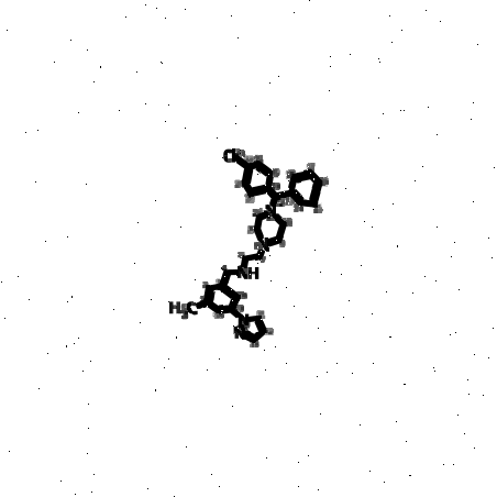 Cc1cc(CNCCN2CCN(C(c3ccccc3)c3ccc(Cl)cc3)CC2)cc(-n2cccn2)c1